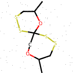 CC1CSSC2(CO1)OC(C)CSS2